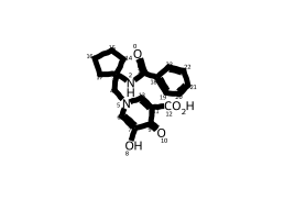 O=C(NC1(Cn2cc(O)c(=O)c(C(=O)O)c2)CCCC1)c1ccccc1